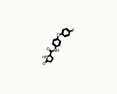 O=C1CCC(C(=O)Nc2ccc(Oc3ccc(F)cc3)cc2)N1